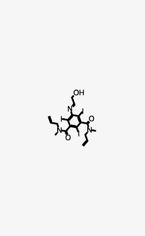 C=CCN(C)C(=O)c1c(I)c(N=CCO)c(I)c(C(=O)N(C)CC=C)c1I